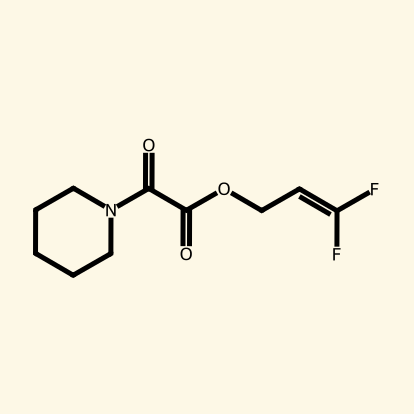 O=C(OCC=C(F)F)C(=O)N1CCCCC1